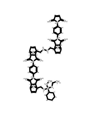 CCO[Si](OC)(OCC12C=CC(O1)C1C(=O)N(c3ccc(N4C(=O)C5C6C=CC(COOCC78C=CC(O7)C7C(=O)N(c9ccc(N%10C(=O)C=CC%10=O)cc9)C(=O)C78)(O6)C5C4=O)cc3)C(=O)C12)C1CCCCC1